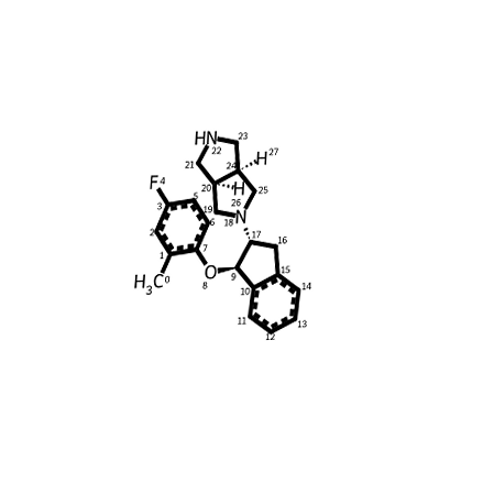 Cc1cc(F)ccc1O[C@@H]1c2ccccc2C[C@H]1N1C[C@H]2CNC[C@H]2C1